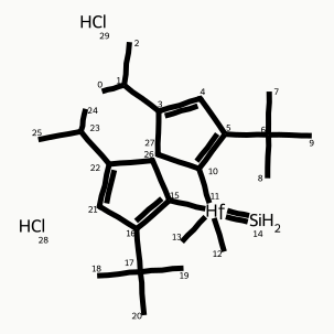 CC(C)C1=CC(C(C)(C)C)=[C]([Hf]([CH3])([CH3])(=[SiH2])[C]2=C(C(C)(C)C)C=C(C(C)C)C2)C1.Cl.Cl